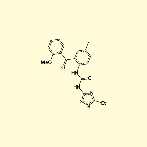 CCc1nsc(NC(=O)Nc2ccc(C)cc2C(=O)c2ccccc2OC)n1